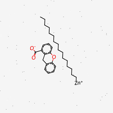 CCCCCCCCCCCCCCC[CH2][Zn+].O=C([O-])c1cccc2c1Cc1ccccc1O2